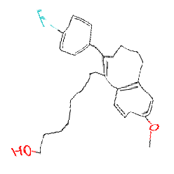 COc1ccc2c(c1)CCCC(c1ccc(F)cc1)=C2CCCCCCO